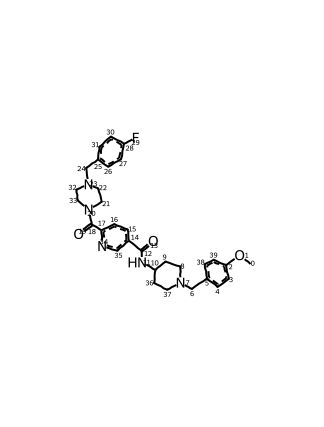 COc1ccc(CN2CCC(NC(=O)c3ccc(C(=O)N4CCN(Cc5ccc(F)cc5)CC4)nc3)CC2)cc1